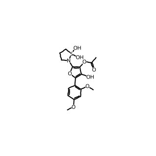 COc1ccc(-c2oc(N3CCCS3(O)O)c(OC(C)=O)c2O)c(OC)c1